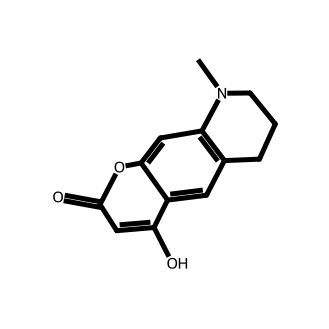 CN1CCCc2cc3c(O)cc(=O)oc3cc21